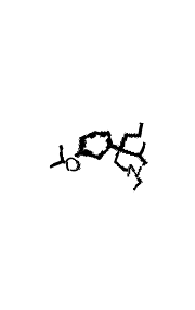 CCCC1(c2cccc(OC(C)C)c2)CCN(CC)CC1C